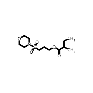 CCC(C)C(=O)OCCCS(=O)(=O)N1CCOCC1